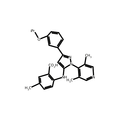 Cc1ccc(Nc2cc(-c3cccc(OC(C)C)c3)nn2-c2c(C)cncc2C)c(C(=O)O)c1